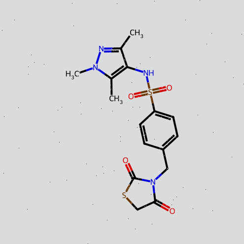 Cc1nn(C)c(C)c1NS(=O)(=O)c1ccc(CN2C(=O)CSC2=O)cc1